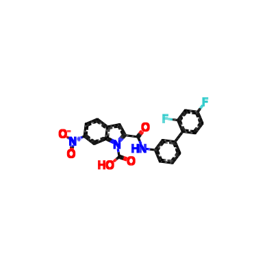 O=C(Nc1cccc(-c2ccc(F)cc2F)c1)c1cc2ccc([N+](=O)[O-])cc2n1C(=O)O